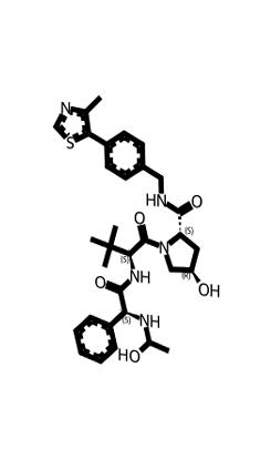 Cc1ncsc1-c1ccc(CNC(=O)[C@@H]2C[C@@H](O)CN2C(=O)[C@@H](NC(=O)[C@@H](NC(C)O)c2ccccc2)C(C)(C)C)cc1